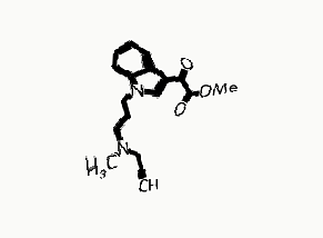 C#CCN(C)CCCn1cc(C(=O)C(=O)OC)c2ccccc21